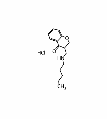 CCCCCNCC1COc2ccccc2C1=O.Cl